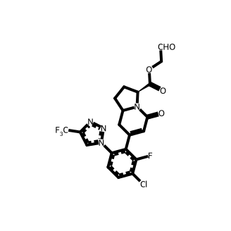 O=CCOC(=O)[C@@H]1CCC2CC(c3c(-n4cc(C(F)(F)F)nn4)ccc(Cl)c3F)=CC(=O)N21